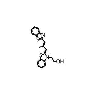 CC(/C=C1\Sc2ccccc2N1CCO)=C\c1nc2ccccc2s1